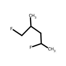 CC(F)CC(C)CF